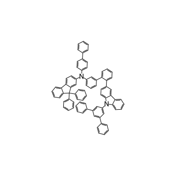 c1ccc(-c2ccc(N(c3cccc(-c4ccccc4-c4ccc5c(c4)c4ccccc4n5-c4cc(-c5ccccc5)cc(-c5ccccc5)c4)c3)c3ccc4c(c3)C(c3ccccc3)(c3ccccc3)c3ccccc3-4)cc2)cc1